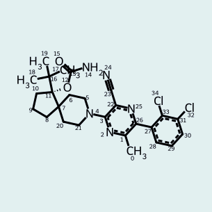 Cc1nc(N2CCC3(CCC[C@@]3(OC(N)=O)C(C)(C)C)CC2)c(C#N)nc1-c1cccc(Cl)c1Cl